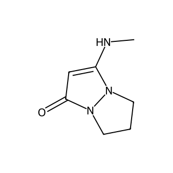 CNc1cc(=O)n2n1CCC2